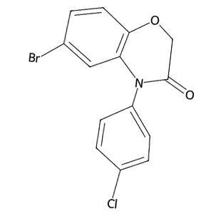 O=C1COc2ccc(Br)cc2N1c1ccc(Cl)cc1